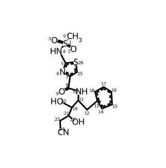 CS(=O)(=O)Nc1nc(C(=O)NC(Cc2ccccc2)C(O)C(O)CC#N)cs1